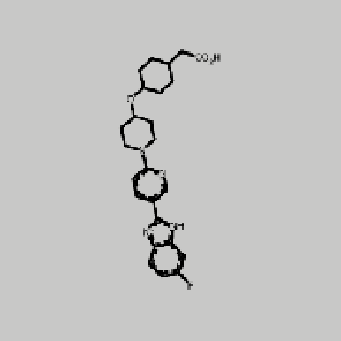 O=C(O)CC1CCC(OC2CCN(c3ccc(-c4nc5ccc(F)cc5[nH]4)cn3)CC2)CC1